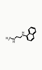 PNCCNc1cccc2ccccc12